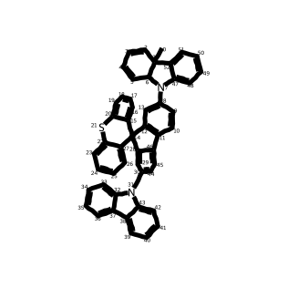 CC12C=CC=CC1N(c1ccc3c(c1)C1(c4ccccc4Sc4ccccc41)c1cc(-n4c5ccccc5c5ccccc54)ccc1-3)c1ccccc12